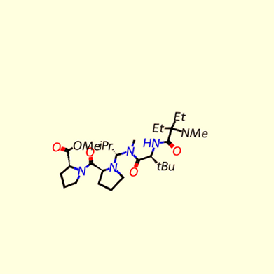 CCC(CC)(NC)C(=O)N[C@H](C(=O)N(C)[C@@H](C(C)C)N1CCC[C@H]1C(=O)N1CCC[C@H]1C(=O)OC)C(C)(C)C